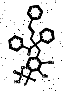 CC(C)(C)c1c(CC(CC=Cc2ccccc2)(C(=O)c2ccccc2)c2ccccc2)ccc(C(F)(F)P(=O)(O)O)c1C(C)(C)C